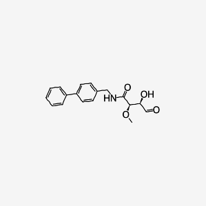 CO[C@@H](C(=O)NCc1ccc(-c2ccccc2)cc1)[C@@H](O)C=O